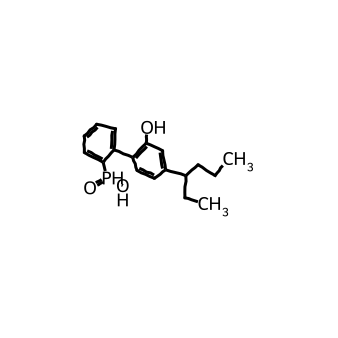 CCCC(CC)c1ccc(-c2ccccc2[PH](=O)O)c(O)c1